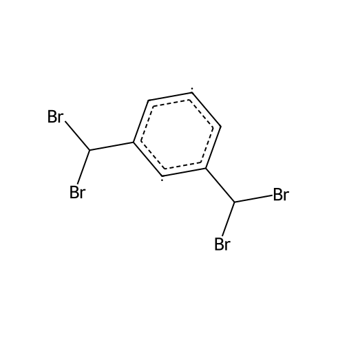 BrC(Br)c1[c]c(C(Br)Br)c[c]c1